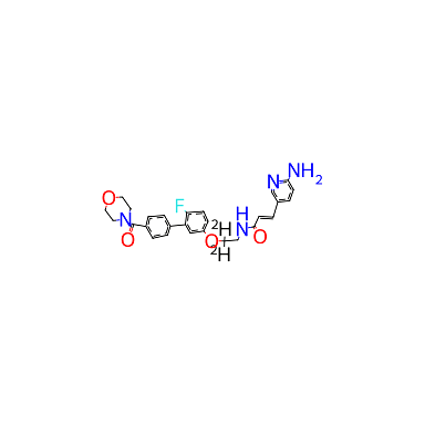 [2H]C([2H])(CNC(=O)C=Cc1ccc(N)nc1)Oc1ccc(F)c(-c2ccc(C(=O)N3CCOCC3)cc2)c1